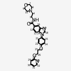 O=C(NCCN1CCOCC1)c1ccc2c(c1)ncn2-c1ccc(OCCOc2ccccn2)cc1